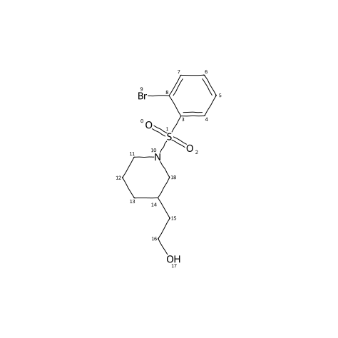 O=S(=O)(c1ccccc1Br)N1CCCC(CCO)C1